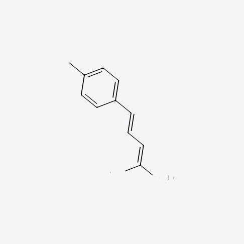 CCOC(=O)C(=C/C=C/c1ccc(C)cc1)C(=O)OCC